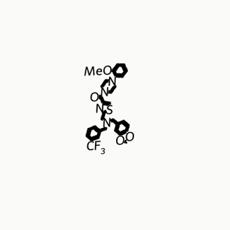 COc1ccccc1N1CCN(C(=O)c2csc(CN(Cc3cccc(C(F)(F)F)c3)Cc3ccc4c(c3)OCO4)n2)CC1